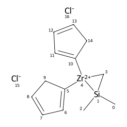 C[Si]1(C)[CH2][Zr+2]1([C]1=CC=CC1)[C]1=CC=CC1.[Cl-].[Cl-]